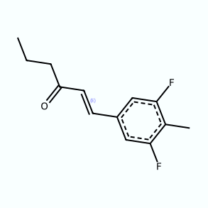 CCCC(=O)/C=C/c1cc(F)c(C)c(F)c1